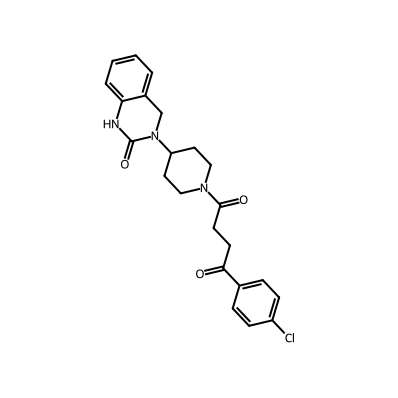 O=C(CCC(=O)N1CCC(N2Cc3ccccc3NC2=O)CC1)c1ccc(Cl)cc1